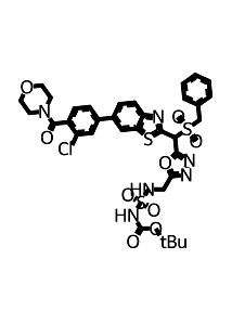 CC(C)(C)OC(=O)NS(=O)(=O)NCc1nnc(C(c2nc3ccc(-c4ccc(C(=O)N5CCOCC5)c(Cl)c4)cc3s2)S(=O)(=O)Cc2ccccc2)o1